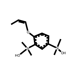 C/C=C\Oc1ccc([Si](C)(C)O)cc1[Si](C)(C)O